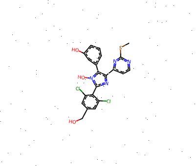 CSc1nccc(-c2nc(-c3c(Cl)cc(CO)cc3Cl)n(O)c2-c2cccc(O)c2)n1